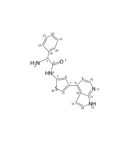 NC(C(=O)Nc1cc(-c2ccnc3[nH]ccc23)cs1)c1ccccc1